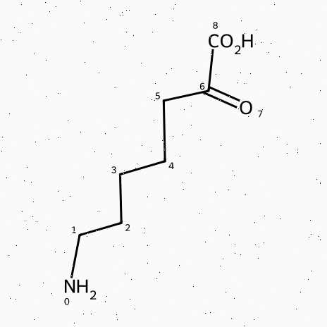 NCCCCCC(=O)C(=O)O